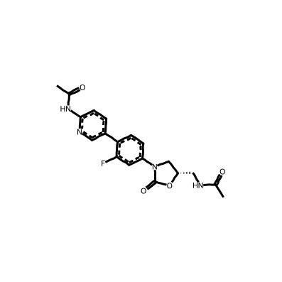 CC(=O)NC[C@H]1CN(c2ccc(-c3ccc(NC(C)=O)nc3)c(F)c2)C(=O)O1